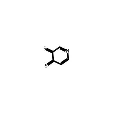 S=C1[C]=NC=CC1=S